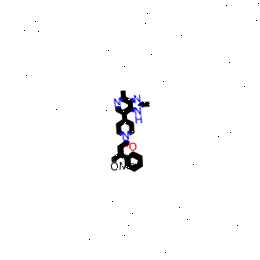 COCC(=CC(=O)N1CCC(c2cnc(C)c3nc(C)[nH]c23)CC1)c1ccccc1